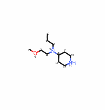 CCCN(CCOC)C1CCNCC1